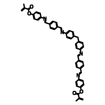 C=C(C)C(=O)Oc1ccc(N=Cc2ccc(C=Nc3ccc(Cc4ccc(N=Cc5ccc(C=Nc6ccc(OC(=O)C(=C)C)cc6)cc5)cc4)cc3)cc2)cc1